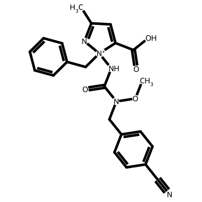 CON(Cc1ccc(C#N)cc1)C(=O)N[N+]1(Cc2ccccc2)N=C(C)C=C1C(=O)O